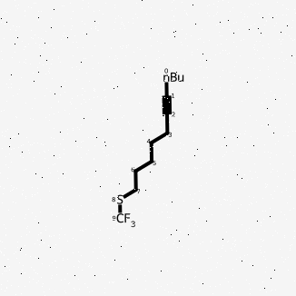 CCCCC#CCCCCCSC(F)(F)F